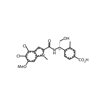 COc1cc2c(cc(C(=O)N[C@H](CO)c3ccc(C(=O)O)cc3C)n2C)c(Cl)c1Cl